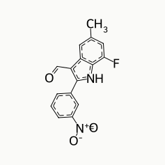 Cc1cc(F)c2[nH]c(-c3cccc([N+](=O)[O-])c3)c(C=O)c2c1